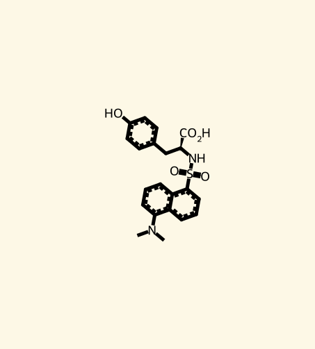 CN(C)c1cccc2c(S(=O)(=O)N[C@@H](Cc3ccc(O)cc3)C(=O)O)cccc12